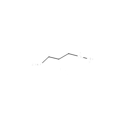 CCCCCCC[CH2][Zn][CH2]CCC.S